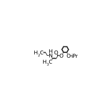 C=CCNC(C)=CC(=O)Oc1ccccc1OC(C)C